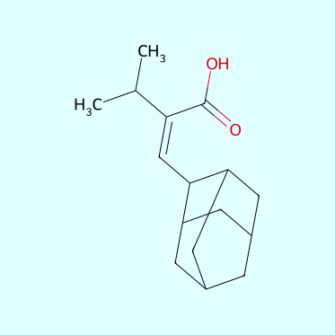 CC(C)C(=CC1C2CC3CC(C2)CC1C3)C(=O)O